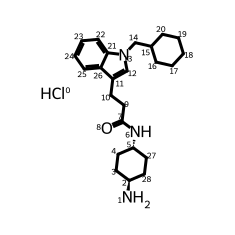 Cl.N[C@H]1CC[C@H](NC(=O)CCc2cn(CC3CCCCC3)c3ccccc23)CC1